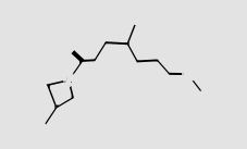 COCCCC(C)CCC(=O)N1CC(C)C1